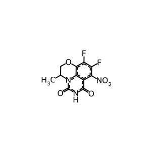 CC1COc2c(F)c(F)c([N+](=O)[O-])c3c(=O)[nH]c(=O)n1c23